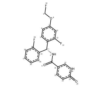 O=C(N[C@@H](c1ccc(OCF)cc1F)c1ncccc1F)c1ccc(=O)[nH]c1